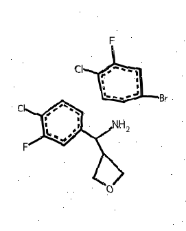 Fc1cc(Br)ccc1Cl.NC(c1ccc(Cl)c(F)c1)C1COC1